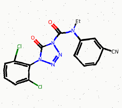 CCN(C(=O)n1nnn(-c2c(Cl)cccc2Cl)c1=O)c1cccc(C#N)c1